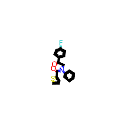 O=C(CN(C(=O)c1cccs1)c1ccccc1)c1ccc(F)cc1